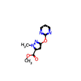 COC(=O)c1cc(Oc2ncccn2)nn1C